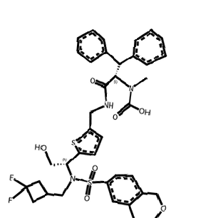 CN(C(=O)O)[C@H](C(=O)NCc1ccc([C@@H](CO)N(CC2CC(F)(F)C2)S(=O)(=O)c2ccc3c(c2)CCOC3)s1)C(c1ccccc1)c1ccccc1